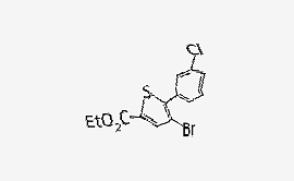 CCOC(=O)c1cc(Br)c(-c2cccc(Cl)c2)s1